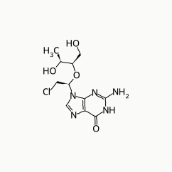 C[C@H](O)[C@@H](CO)O[C@H](CCl)n1cnc2c(=O)[nH]c(N)nc21